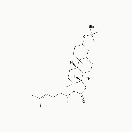 CC(C)=CCC[C@@H](C)C1C(=O)C[C@H]2[C@@H]3CC=C4C[C@@H](O[Si](C)(C)C(C)(C)C)CCC4(C)[C@H]3CC[C@]12C